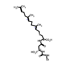 CCNC(=O)N[C@@H](CC(=O)N[C@@H](CSC/C=C(\C)CC/C=C(\C)CCC=C(C)C)C(=O)O)C(=O)O